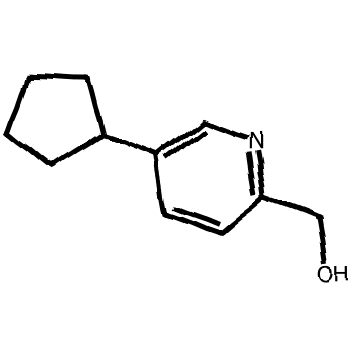 OCc1ccc(C2CCCC2)cn1